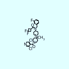 CC1(N2CCC(N(Cc3cccc(F)c3)C(=O)C3CC(F)(F)C3)CC2)CCN(C(=O)c2c(Cl)cncc2Cl)CC1